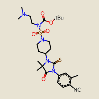 [C-]#[N+]c1ccc(N2C(=O)C(C)(C)N(C3CCN(S(=O)(=O)N(CCN(C)C)C(=O)OC(C)(C)C)CC3)C2=S)cc1C